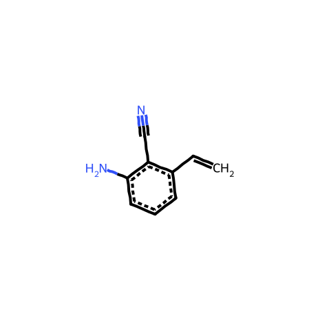 C=Cc1cccc(N)c1C#N